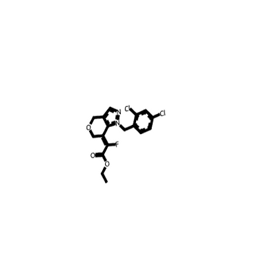 CCOC(=O)C(F)=C1COCc2cnn(Cc3ccc(Cl)cc3Cl)c21